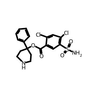 NS(=O)(=O)c1cc(C(=O)OC2(c3ccccc3)CCNCC2)c(Cl)cc1Cl